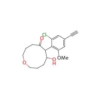 C#Cc1cc(Cl)c(C2C(=O)CCCOCCCC2O)c(OC)c1